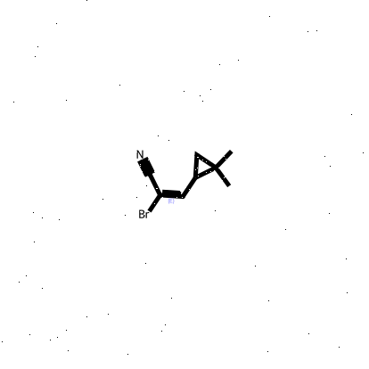 CC1(C)CC1/C=C(/Br)C#N